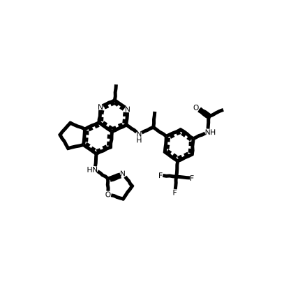 CC(=O)Nc1cc(C(C)Nc2nc(C)nc3c4c(c(NC5=NCCO5)cc23)CCC4)cc(C(F)(F)F)c1